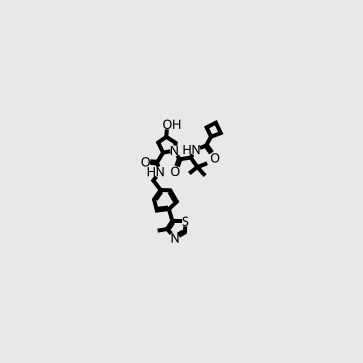 Cc1ncsc1-c1ccc(CNC(=O)C2CC(O)CN2C(=O)C(NC(=O)C2CCC2)C(C)(C)C)cc1